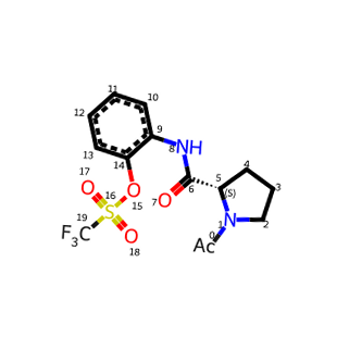 CC(=O)N1CCC[C@H]1C(=O)Nc1ccccc1OS(=O)(=O)C(F)(F)F